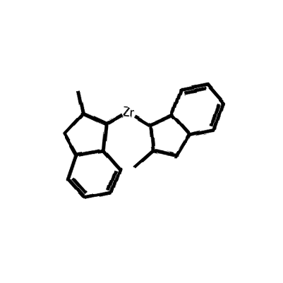 CC1CC2C=CC=CC2[CH]1[Zr][CH]1C(C)CC2C=CC=CC21